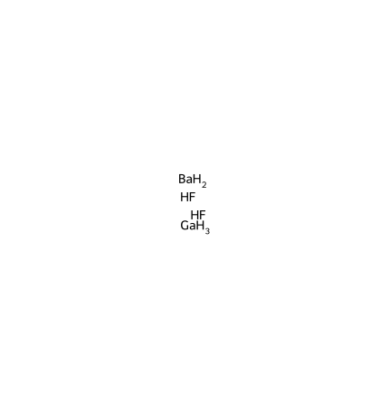 F.F.[BaH2].[GaH3]